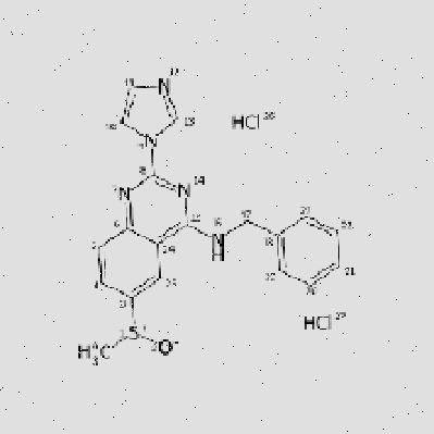 C[S+]([O-])c1ccc2nc(-n3ccnc3)nc(NCc3ccccc3)c2c1.Cl.Cl